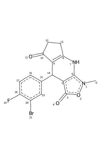 Cn1oc(=O)c2c1NC1=C(C(=O)CC1)C2c1ccc(F)c(Br)c1